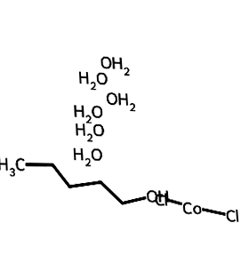 CCCCCO.O.O.O.O.O.O.[Cl][Co][Cl]